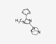 Cn1cc(N2CCN3CCC2CC3)nc1-c1cccs1